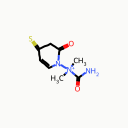 C[N+](C)(C(N)=O)N1C=CC(=S)CC1=O